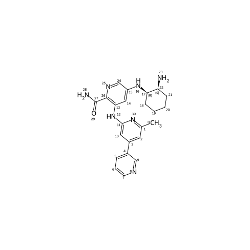 Cc1cc(-c2cccnc2)cc(Nc2cc(N[C@@H]3CCCC[C@@H]3N)cnc2C(N)=O)n1